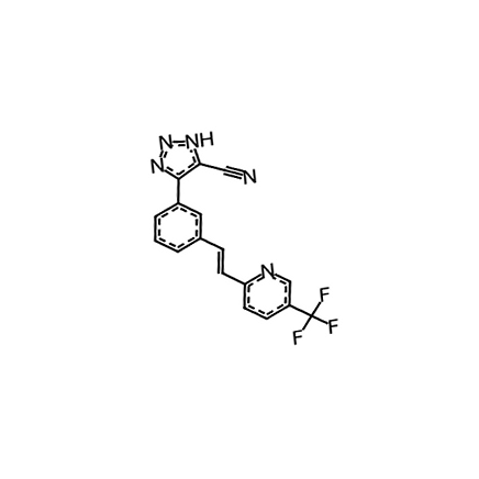 N#Cc1[nH]nnc1-c1cccc(C=Cc2ccc(C(F)(F)F)cn2)c1